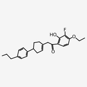 CCCc1ccc(C2CC=C(CC(=O)c3ccc(OCC)c(F)c3O)CC2)cc1